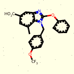 Cc1cc(C(=O)O)cc2nc(Oc3ccccc3)n(Cc3ccc(OC(F)(F)F)cc3)c12